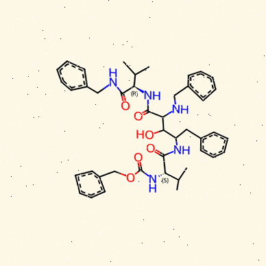 CC(C)[C@H](NC(=O)OCc1ccccc1)C(=O)NC(Cc1ccccc1)C(O)C(NCc1ccccc1)C(=O)N[C@@H](C(=O)NCc1ccccc1)C(C)C